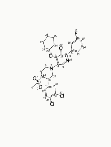 CS(=O)(=O)N1CCN(c2cnn(-c3cccc(F)c3)c(=O)c2OC2CCCCC2)CC1c1ccc(Cl)c(Cl)c1